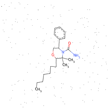 CCCCCCCC1OCC(c2ccccc2)N(C(N)=O)C1(C)C